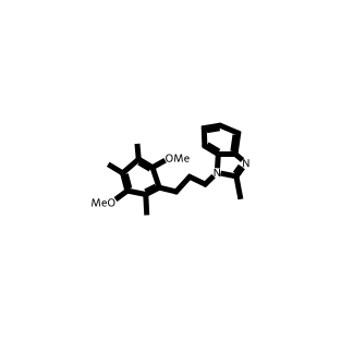 COc1c(C)c(C)c(OC)c(CCCn2c(C)nc3ccccc32)c1C